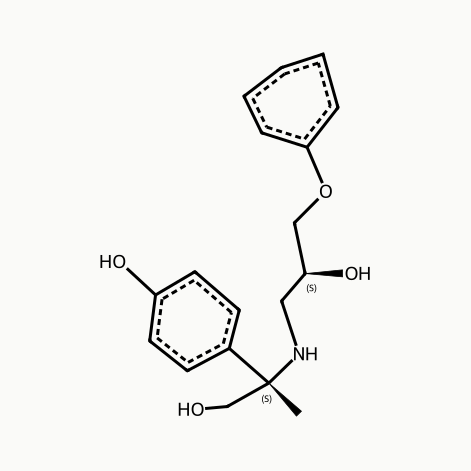 C[C@](CO)(NC[C@H](O)COc1ccccc1)c1ccc(O)cc1